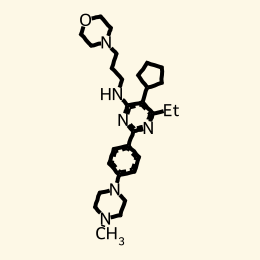 CCc1nc(-c2ccc(N3CCN(C)CC3)cc2)nc(NCCCN2CCOCC2)c1C1CCCC1